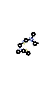 C=C1C=CC=C(c2nc(-c3ccccc3)nc(-c3ccc4nc(-c5cccc(-n6c7ccccc7c7cc8c(cc76)sc6ccccc68)c5)sc4c3)n2)C1